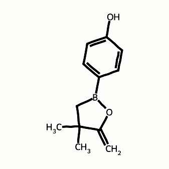 C=C1OB(c2ccc(O)cc2)CC1(C)C